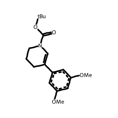 COc1cc(OC)cc(C2=CN(C(=O)OC(C)(C)C)CCC2)c1